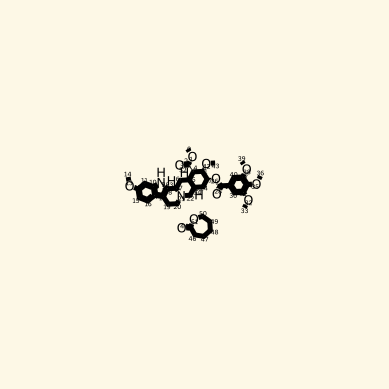 COC(=O)[C@H]1[C@H]2C[C@@H]3c4[nH]c5cc(OC)ccc5c4CCN3C[C@H]2C[C@@H](OC(=O)c2cc(OC)c(OC)c(OC)c2)[C@@H]1OC.O=C1CCCCCO1